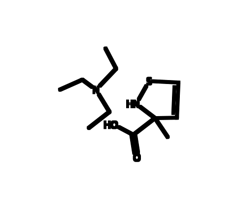 CC1(C(=O)O)C=CSN1.CCN(CC)CC